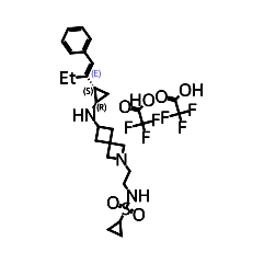 CC/C(=C\c1ccccc1)[C@@H]1C[C@H]1NC1CC2(C1)CN(CCNS(=O)(=O)C1CC1)C2.O=C(O)C(F)(F)F.O=C(O)C(F)(F)F